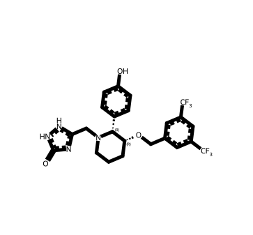 O=c1nc(CN2CCC[C@@H](OCc3cc(C(F)(F)F)cc(C(F)(F)F)c3)[C@H]2c2ccc(O)cc2)[nH][nH]1